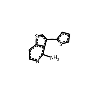 Nc1nccc2scc(-c3cccs3)c12